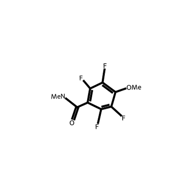 CNC(=O)c1c(F)c(F)c(OC)c(F)c1F